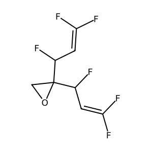 FC(F)=CC(F)C1(C(F)C=C(F)F)CO1